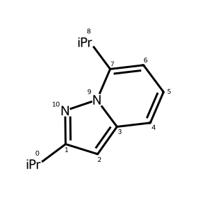 CC(C)c1cc2cccc(C(C)C)n2n1